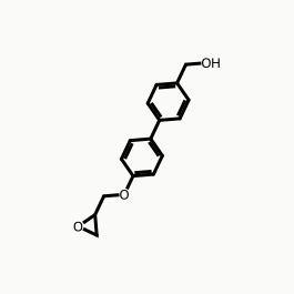 OCc1ccc(-c2ccc(OCC3CO3)cc2)cc1